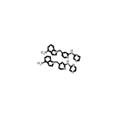 Nc1cccc2c1ccn2Cc1ccnc(Nc2cnccn2)c1.O=[N+]([O-])c1cccc2c1ccn2Cc1ccnc(Nc2cnccn2)c1